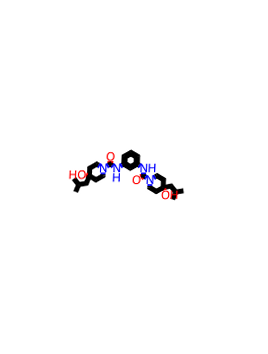 CC(C)CC1(O)CCN(C(=O)Nc2cccc(NC(=O)N3CCC(O)(CC(C)C)CC3)c2)CC1